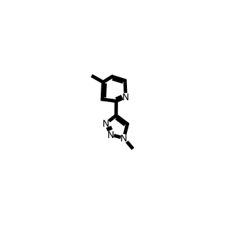 Cc1ccnc(-c2cn(C)nn2)c1